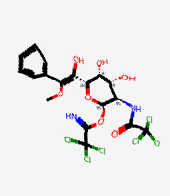 COC(=C(O)[C@H]1O[C@H](OC(=N)C(Cl)(Cl)Cl)[C@H](NC(=O)C(Cl)(Cl)Cl)[C@@H](O)[C@H]1O)c1ccccc1